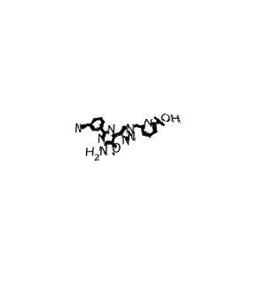 COc1c(N)nc(-c2cccc(C#N)c2)nc1-c1cn(Cc2cccc(C(C)(C)O)n2)nn1